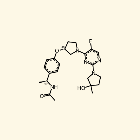 CC(=O)N[C@@H](C)c1ccc(O[C@@H]2CCN(c3nc(N4CCC(C)(O)C4)ncc3F)C2)cc1